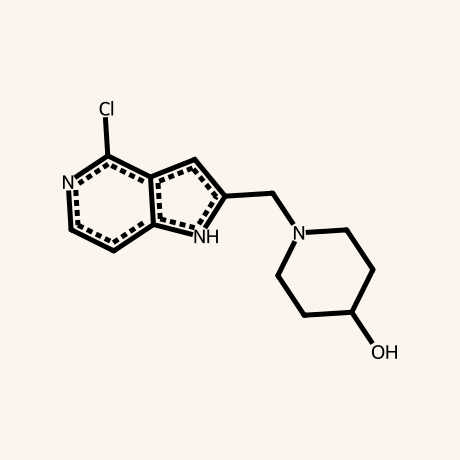 OC1CCN(Cc2cc3c(Cl)nccc3[nH]2)CC1